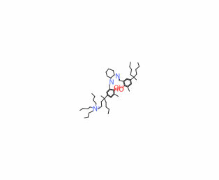 CCCCC(C)(CCCC)c1cc(C)c(O)c(/C=N/[C@H]2CCCC[C@@H]2/N=C/c2cc(C(C)(CCCC)CCC[N+](CCCC)(CCCC)CCCC)cc(C)c2O)c1